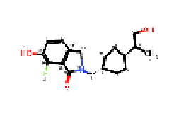 CC(CO)[C@H]1CC[C@H](CN2Cc3ccc(O)c(F)c3C2=O)CC1